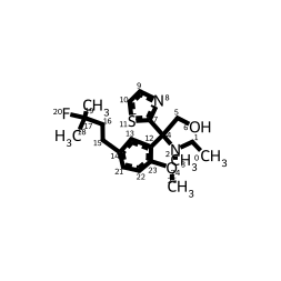 CCN(C)C(CO)(c1nccs1)c1cc(CCC(C)(C)F)ccc1OC